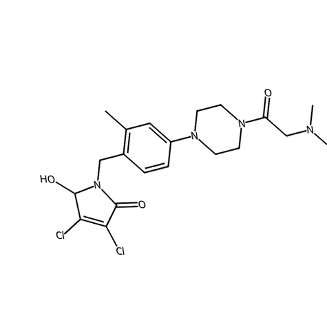 Cc1cc(N2CCN(C(=O)CN(C)C)CC2)ccc1CN1C(=O)C(Cl)=C(Cl)C1O